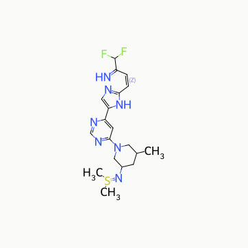 CC1CC(N=S(C)C)CN(c2cc(-c3cnc(/C=C\C(=N)C(F)F)[nH]3)ncn2)C1